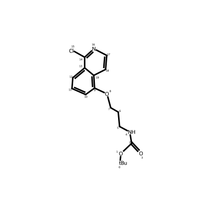 CC(C)(C)OC(=O)NCCCOc1cccc2c(Cl)nccc12